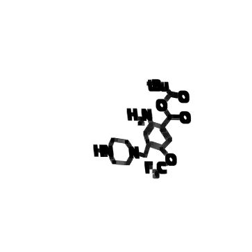 CC(C)(C)C(=O)OC(=O)c1cc(OC(F)(F)F)c(CN2CCNCC2)cc1N